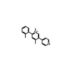 Cc1cc(-c2ccccc2C)[n+](C)cc1-c1ccncc1